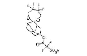 O=C(OC12CC3CC(C1)C1(OCC(F)(F)C(F)(F)CO1)C(C3)C2)C(F)(F)S(=O)(=O)O